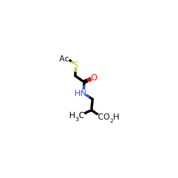 CC(=O)SCC(=O)NCC(C)C(=O)O